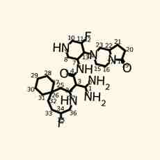 NC(N)C(C(=O)NC1CNCC(F)C1N1CCN2C(=O)CCC2C1)C1CC2(CCCCC2)CCC(F)CN1